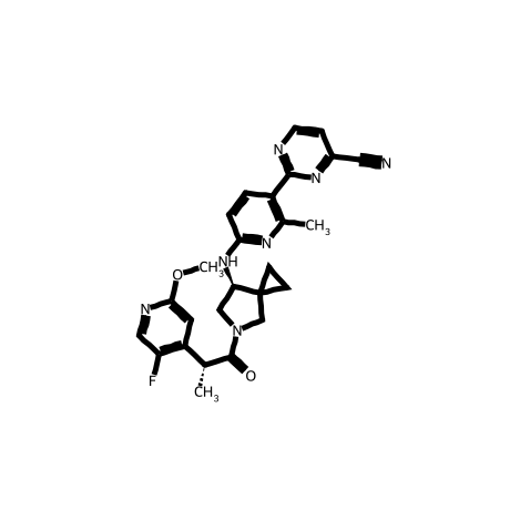 COc1cc([C@@H](C)C(=O)N2C[C@@H](Nc3ccc(-c4nccc(C#N)n4)c(C)n3)C3(CC3)C2)c(F)cn1